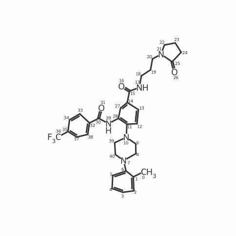 Cc1ccccc1N1CCN(c2ccc(C(=O)NCCCN3CCCC3=O)cc2NC(=O)c2ccc(C(F)(F)F)cc2)CC1